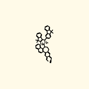 C#C/C=c1/cc2c(c/c1=C/C)-c1ccc3ccccc3c1C(C1=NC3=C(c4ccccc4C3(C)C)C(c3ccc4c(c3)-c3ccccc3C4(C)C)N1C)CC2